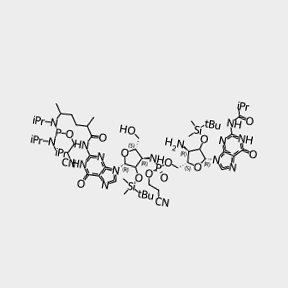 CC(C)C(=O)Nc1nc2c(ncn2[C@@H]2O[C@H](COP(=O)(N[C@H]3C(O[Si](C)(C)C(C)(C)C)[C@H](n4cnc5c(=O)[nH]c(NC(=O)C(C)CCC(C)N(C(C)C)P(OCCC#N)N(C(C)C)C(C)C)nc54)O[C@@H]3CO)OCCC#N)[C@@H](N)C2O[Si](C)(C)C(C)(C)C)c(=O)[nH]1